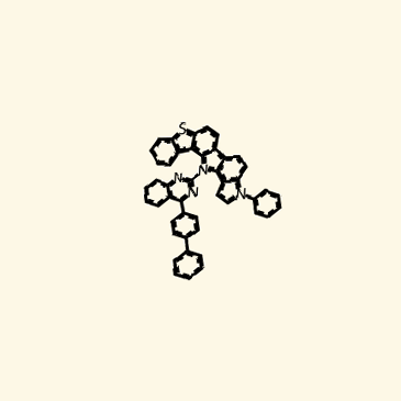 c1ccc(-c2ccc(-c3nc(-n4c5c(ccc6c5ccn6-c5ccccc5)c5ccc6sc7ccccc7c6c54)nc4ccccc34)cc2)cc1